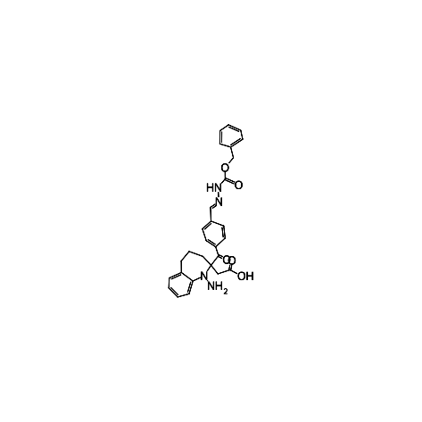 NN1c2ccccc2CCCC1(CC(=O)O)C(=O)c1ccc(C=NNC(=O)OCc2ccccc2)cc1